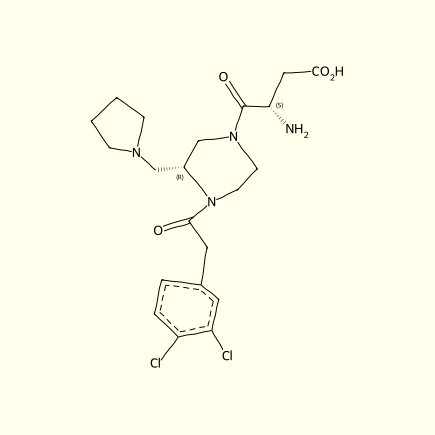 N[C@@H](CC(=O)O)C(=O)N1CCN(C(=O)Cc2ccc(Cl)c(Cl)c2)[C@H](CN2CCCC2)C1